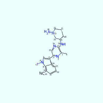 Cc1nc(-c2cn(I)c3c(C#N)cccc23)cnc1NC1CCCN(N)C1